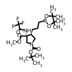 COC(=O)[C@]1(NC(=O)C(F)(F)F)CN(C(=O)OC(C)(C)C)C[C@@H]1CCCB1OC(C)(C)C(C)(C)O1